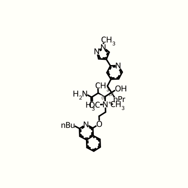 CCCCc1cc2ccccc2c(OCC[N+](C)(C)[C@@H](C(C)C(N)=O)[C@](O)(CCC)Cc2ccnc(-c3cnn(C)c3)c2)n1